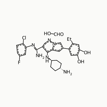 CCc1cc(O)c(O)cc1-c1cc2c(N[C@H]3CC[C@H](N)CC3)c(C(N)=Nc3cc(F)ccc3Cl)cnn2c1.O=CO